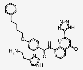 NCCc1c[nH]cn1.O=C(Nc1cccc2c(=O)cc(-c3nnn[nH]3)oc12)c1ccc(OCCCCc2ccccc2)cc1